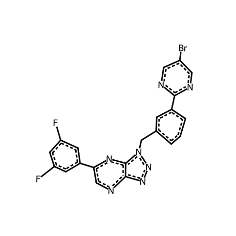 Fc1cc(F)cc(-c2cnc3nnn(Cc4cccc(-c5ncc(Br)cn5)c4)c3n2)c1